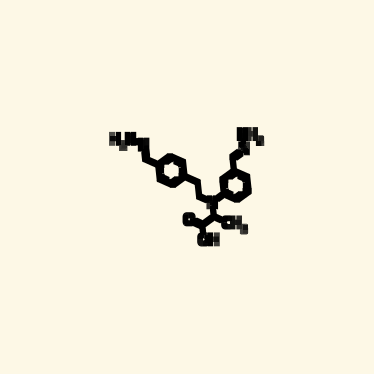 CC(C(=O)O)N(CCc1ccc(C=NN)cc1)c1cccc(C=NN)c1